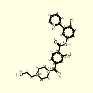 O=C(Nc1ccc(Cl)c(-c2ccccn2)c1)c1ccc(C(=O)N2CCN(CCO)CC2)cc1Cl